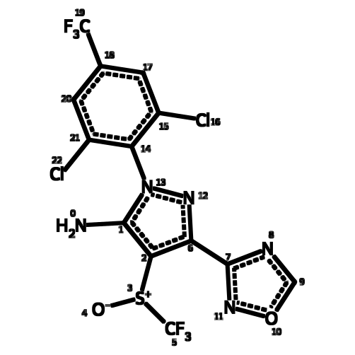 Nc1c([S+]([O-])C(F)(F)F)c(-c2ncon2)nn1-c1c(Cl)cc(C(F)(F)F)cc1Cl